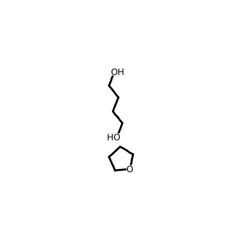 C1CCOC1.OCCCCO